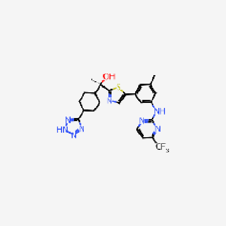 Cc1cc(Nc2nccc(C(F)(F)F)n2)cc(-c2cnc([C@](C)(O)C3CCC(c4nn[nH]n4)CC3)s2)c1